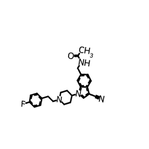 CC(=O)NCc1ccc2c(C#N)cn(C3CCN(CCc4ccc(F)cc4)CC3)c2c1